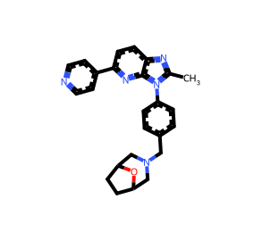 Cc1nc2ccc(-c3ccncc3)nc2n1-c1ccc(CN2CC3CCC(C2)O3)cc1